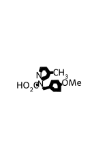 COc1ccc(CN(C(=O)O)c2cc(C)ccn2)cc1